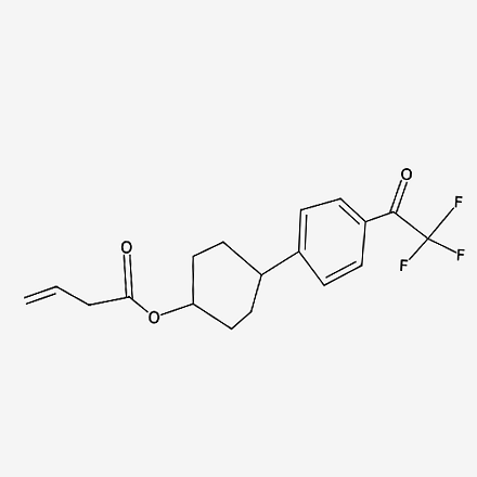 C=CCC(=O)OC1CCC(c2ccc(C(=O)C(F)(F)F)cc2)CC1